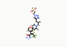 CC(Cc1cn(CCS(C)(=O)=O)nn1)CN1CC[C@]2(C[C@@H]1C)OCCc1c2sc(C(F)(F)F)c1C(N)=O